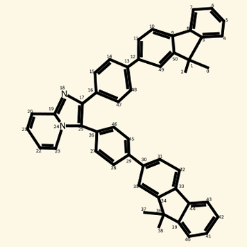 CC1(C)c2ccccc2-c2ccc(-c3ccc(-c4nc5ccccn5c4-c4ccc(-c5ccc6c(c5)C(C)(C)c5ccccc5-6)cc4)cc3)cc21